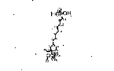 CCC(CC)(CCCCCCCCCCP(=O)(O)O)[Si](OC)(OC)OC